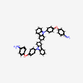 Nc1ccc(Oc2ccc(-n3c4ccccc4c4cc(-c5ccc6c(c5)c5ccccc5n6-c5ccc(Oc6ccc(N)cc6)cc5)ccc43)cc2)cc1